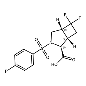 O=C(O)[C@@H]1[C@H]2CC(F)(F)[C@H]2CN1S(=O)(=O)c1ccc(F)cc1